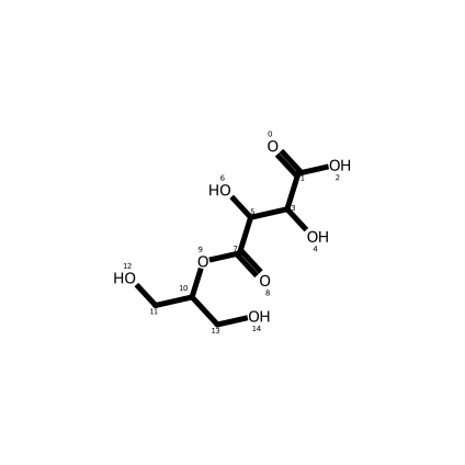 O=C(O)C(O)C(O)C(=O)OC(CO)CO